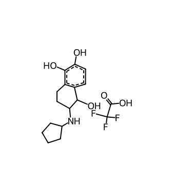 O=C(O)C(F)(F)F.Oc1ccc2c(c1O)CCC(NC1CCCC1)C2O